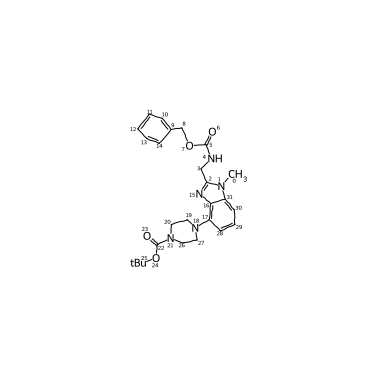 Cn1c(CNC(=O)OCc2ccccc2)nc2c(N3CCN(C(=O)OC(C)(C)C)CC3)cccc21